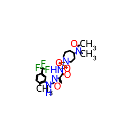 CC(=O)N(C)C1CCCN(S(=O)(=O)NC(=O)c2coc(Nc3cc(C(F)(F)F)ccc3C)n2)CC1